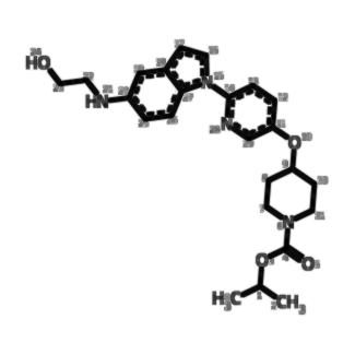 CC(C)OC(=O)N1CCC(Oc2ccc(-n3ccc4cc(NCCO)ccc43)nc2)CC1